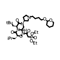 CCOP(=O)(CC(=O)N1O[C@H](CC(C)C)C(=O)N2[C@@H]1CN([C@H]1CCN(CCCCOC3CCCCO3)C1)C(=O)[C@@H]2CC(C)(C)C)OCC